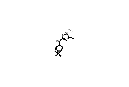 C[C@H]1SC(NC2CC3CC2CC3(F)F)=NC1=O